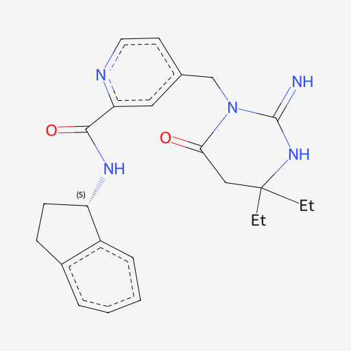 CCC1(CC)CC(=O)N(Cc2ccnc(C(=O)N[C@H]3CCc4ccccc43)c2)C(=N)N1